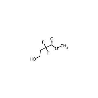 COC(=O)C(F)(F)CCO